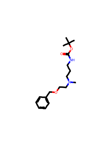 CN(CCCNC(=O)OC(C)(C)C)CCOCc1ccccc1